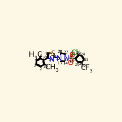 Cc1cccc(C)c1-c1csc(N2CCN(S(=O)(=O)c3cc(C(F)(F)F)ccc3Cl)CC2)n1